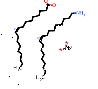 CCCCCCCC/C=C\CCCCCCCC(=O)[O-].CCCCCCCC/C=C\CCCCCCCCN.[Br][Pb+][Br]